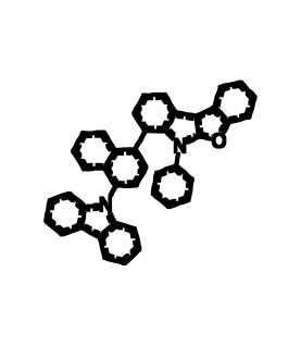 c1ccc(-n2c3oc4ccccc4c3c3cccc(-c4ccc(-n5c6ccccc6c6ccccc65)c5ccccc45)c32)cc1